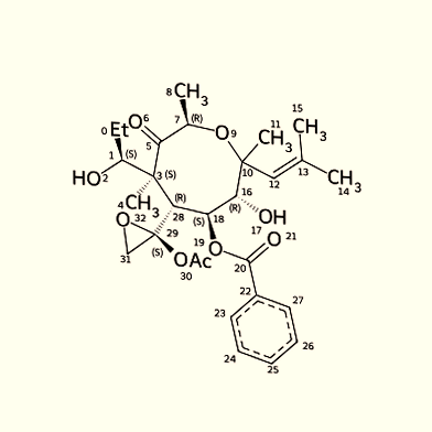 CC[C@H](O)[C@@]1(C)C(=O)[C@@H](C)OC(C)(C=C(C)C)[C@H](O)[C@@H](OC(=O)c2ccccc2)[C@@H]1[C@]1(OC(C)=O)CO1